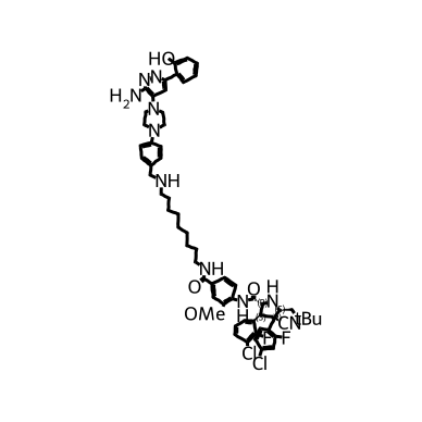 COc1cc(C(=O)NCCCCCCCCCNCc2ccc(N3CCN(c4cc(-c5ccccc5O)nnc4N)CC3)cc2)ccc1NC(=O)[C@@H]1N[C@@H](CC(C)(C)C)[C@](C#N)(c2ccc(Cl)cc2F)[C@H]1c1cccc(Cl)c1F